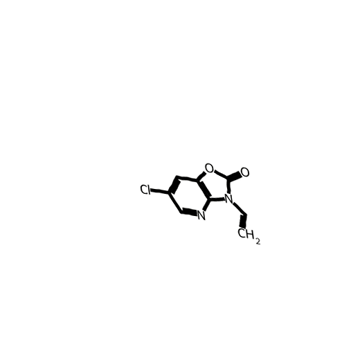 C=Cn1c(=O)oc2cc(Cl)cnc21